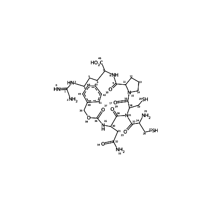 N=C(N)NCCCC(NC(=O)C1CCCN1C(=O)C(CS)N(C(=O)C(N)CS)C(=O)C(CC(N)=O)NC(=O)OCc1ccccc1)C(=O)O